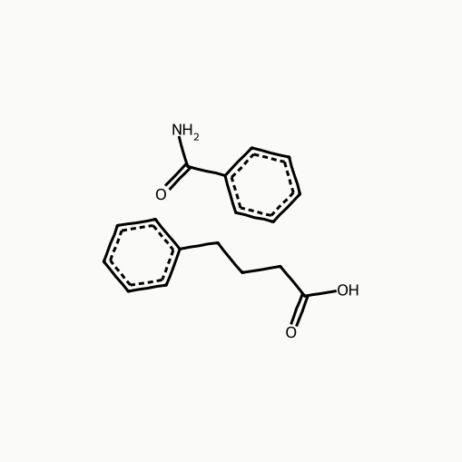 NC(=O)c1ccccc1.O=C(O)CCCc1ccccc1